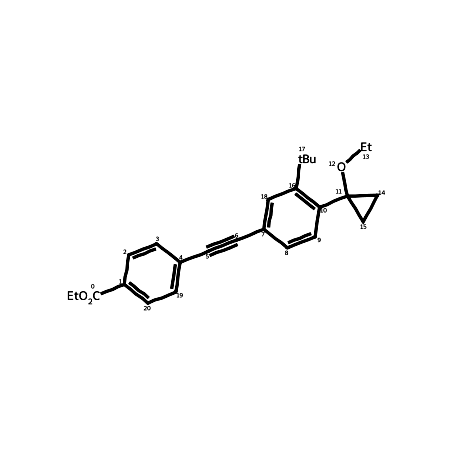 CCOC(=O)c1ccc(C#Cc2ccc(C3(OCC)CC3)c(C(C)(C)C)c2)cc1